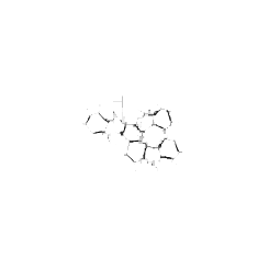 Clc1ccccc1Nc1cc2ccc3sc4ccccc4c3c2c2c1sc1ccccc12